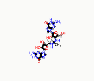 CC(C)(NC[C@H]1O[C@@H](n2cnc3c(=O)[nH]c(N)nc32)[C@H](O)[C@H]1O)N[C@H]1[C@@H](O)[C@H](n2cnc3c(=O)[nH]c(N)nc32)O[C@@H]1CO